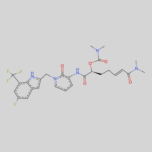 CN(C)C(=O)/C=C/CC[C@H](OC(=O)N(C)C)C(=O)Nc1cccn(Cc2cc3cc(F)cc(C(F)(F)F)c3[nH]2)c1=O